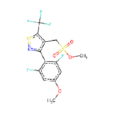 COc1cc(F)c(-c2nsc(C(F)(F)F)c2CS(=O)(=O)OC)c(F)c1